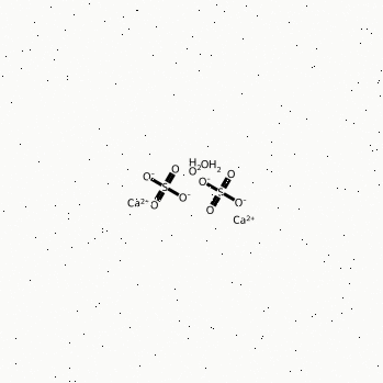 O.O.O=S(=O)([O-])[O-].O=S(=O)([O-])[O-].[Ca+2].[Ca+2]